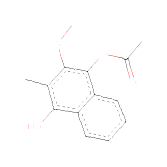 COc1c(C)c(O)c2ccccc2c1OC(C)=O